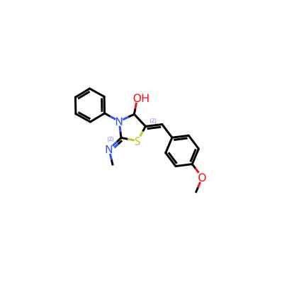 C/N=C1\S/C(=C\c2ccc(OC)cc2)C(O)N1c1ccccc1